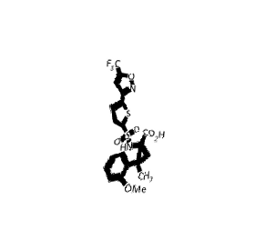 COc1ccccc1C1(C)CC1(NS(=O)(=O)C1CC=C(c2cc(C(F)(F)F)on2)S1)C(=O)O